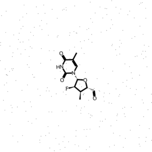 Cc1cn([C@@H]2O[C@H](C=O)[C@@H](C)[C@H]2F)c(=O)[nH]c1=O